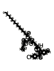 CCCCCCCCCCCCCCCCCC(=O)OC[C@H](COP(=O)([O-])OCC[N+](C)(C)C)OC(=O)CCNC(=O)Cc1c(C)n(C(=O)c2ccc(Cl)cc2)c2ccc(OC)cc12